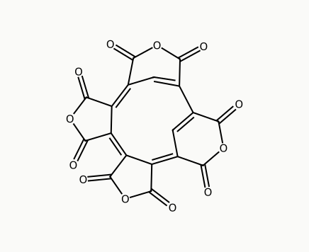 O=C1OC(=O)c2cc1c1cc(c3c(=O)oc(=O)c3c3c(=O)oc(=O)c23)C(=O)OC1=O